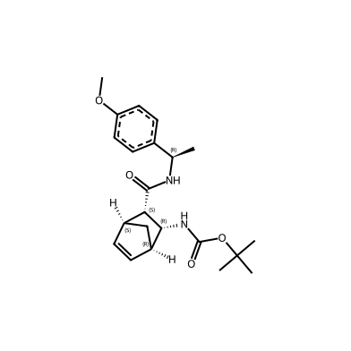 COc1ccc([C@@H](C)NC(=O)[C@@H]2[C@H](NC(=O)OC(C)(C)C)[C@H]3C=C[C@@H]2C3)cc1